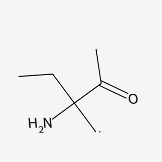 [CH2]C(N)(CC)C(C)=O